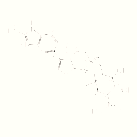 CN(C)[C@H]1C[C@@]23CC[C@]4(O2)C2CC=C(c5ccc6[nH]c(N)nc6c5)[C@@]2(C)CCC4(O)CC3[C@@H](O)[C@@H]1O